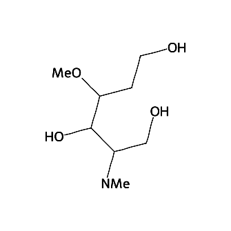 CNC(CO)C(O)C(CCO)OC